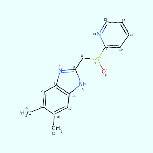 Cc1cc2nc(C[S+]([O-])c3ccccn3)[nH]c2cc1C